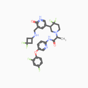 CC(C(=O)Nc1ccc(Oc2ccc(F)cc2F)cn1)N1CCC(F)(F)C(c2c[nH]c(=O)c(CNC3CC(F)(F)C3)c2)C1